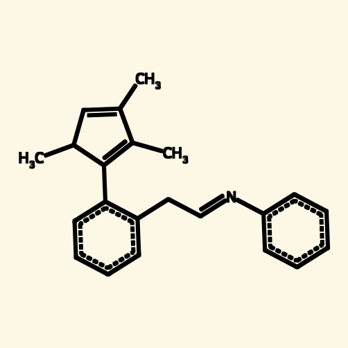 CC1=CC(C)C(c2ccccc2CC=Nc2ccccc2)=C1C